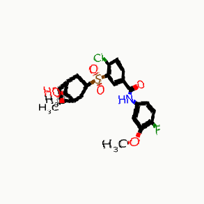 COc1cc(NC(=O)c2ccc(Cl)c(S(=O)(=O)C3CC4C[C@H](C)C(C3)[C@]4(C)O)c2)ccc1F